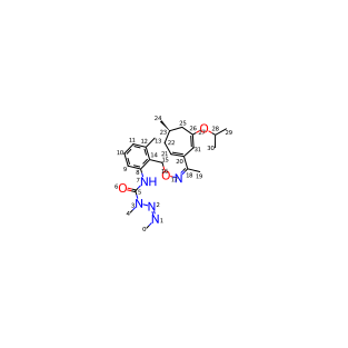 C/N=N\N(C)C(=O)Nc1cccc(C)c1CO/N=C(/C)C1=CC[C@@H](C)CC(OC(C)C)=C1